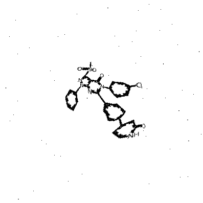 CS(=O)(=O)c1nn(-c2ccccc2)c2nc(-c3ccc(-c4cc[nH]c(=O)c4)cc3)n(-c3ccc(Cl)cc3)c(=O)c12